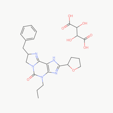 CCCN1C(=O)N2CC(Cc3ccccc3)N=C2c2[nH]c(C3CCCO3)nc21.O=C(O)C(O)C(O)C(=O)O